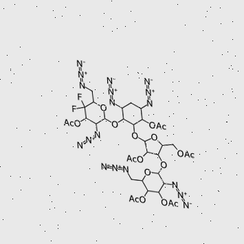 CC(=O)OCC1OC(OC2C(OC(C)=O)C(N=[N+]=[N-])CC(N=[N+]=[N-])C2OC2OC(CN=[N+]=[N-])C(F)(F)C(OC(C)=O)C2N=[N+]=[N-])C(OC(C)=O)C1OC1OC(CN=[N+]=[N-])C(OC(C)=O)C(OC(C)=O)C1N=[N+]=[N-]